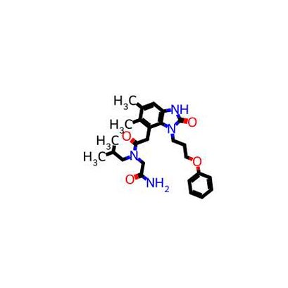 Cc1cc2[nH]c(=O)n(CCCOc3ccccc3)c2c(CC(=O)N(CC(N)=O)CC(C)C)c1C